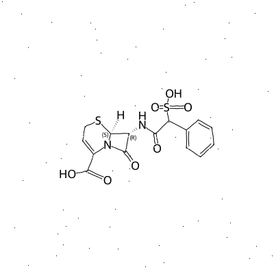 O=C(O)C1=CCS[C@H]2[C@H](NC(=O)C(c3ccccc3)S(=O)(=O)O)C(=O)N12